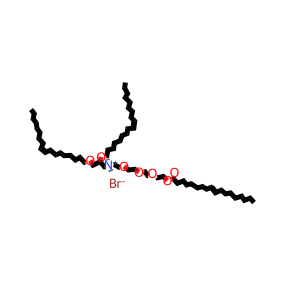 CCCCCCCCC=CCCCCCCCC(=O)OCCOCCOCCOCC[N+](C)(C)CC(COCCCCCCCC/C=C\CCCCCCCC)OCCCCCCCC/C=C\CCCCCCCC.[Br-]